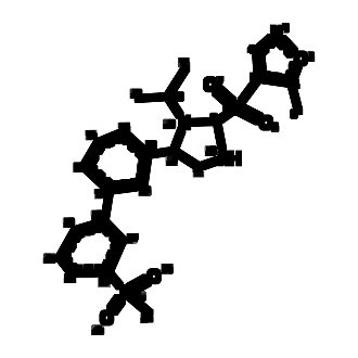 Cc1oncc1S(=O)(=O)C1NCC(c2cccc(-c3cccc(S(C)(=O)=O)c3)c2)N1C(C)C